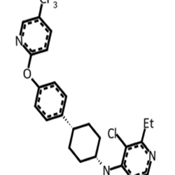 CCc1ncnc(N[C@H]2CC[C@@H](c3ccc(Oc4ccc(C(F)(F)F)cn4)cc3)CC2)c1Cl